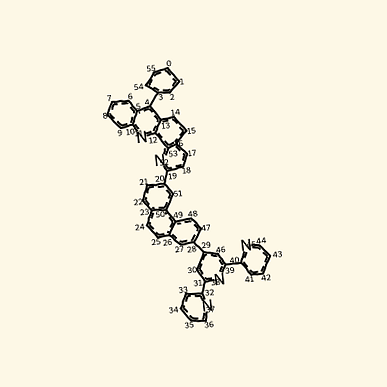 c1ccc(-c2c3ccccc3nc3c2ccc2ccc(-c4ccc5ccc6cc(-c7cc(-c8ccccn8)nc(-c8ccccn8)c7)ccc6c5c4)nc23)cc1